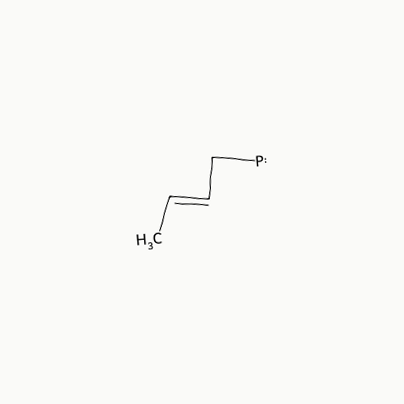 CC=CC[P]